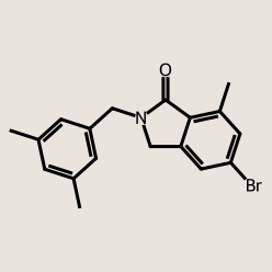 Cc1cc(C)cc(CN2Cc3cc(Br)cc(C)c3C2=O)c1